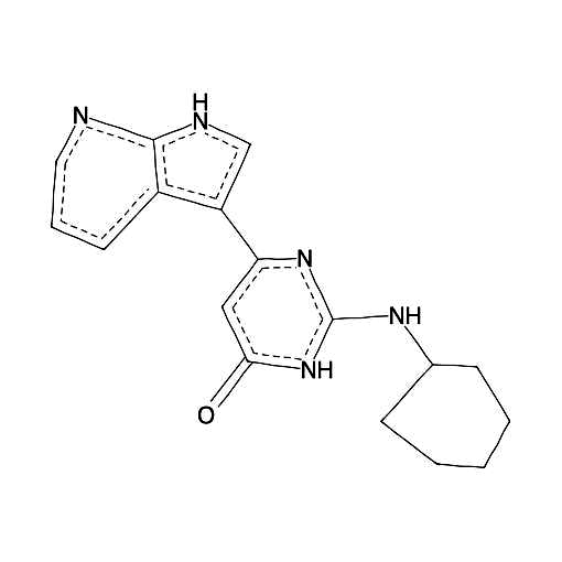 O=c1cc(-c2c[nH]c3ncccc23)nc(NC2CCCCC2)[nH]1